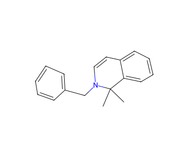 CC1(C)c2ccccc2C=CN1Cc1ccccc1